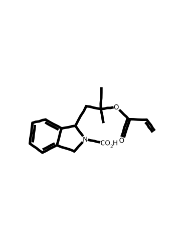 C=CC(=O)OC(C)(C)CC1c2ccccc2CN1C(=O)O